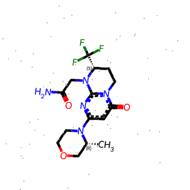 C[C@@H]1COCCN1c1cc(=O)n2c(n1)N(CC(N)=O)[C@H](C(F)(F)F)CC2